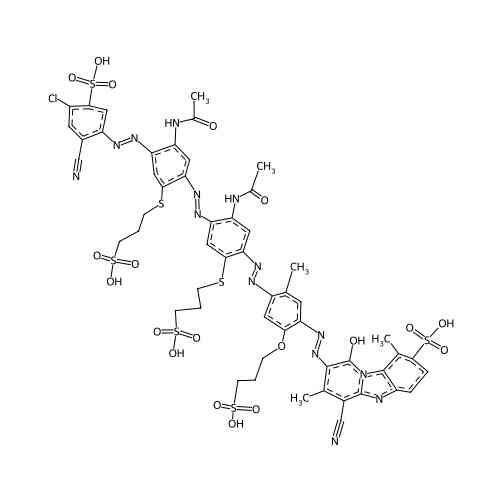 CC(=O)Nc1cc(N=Nc2cc(SCCCS(=O)(=O)O)c(N=Nc3cc(OCCCS(=O)(=O)O)c(N=Nc4c(C)c(C#N)c5nc6ccc(S(=O)(=O)O)c(C)c6n5c4O)cc3C)cc2NC(C)=O)c(SCCCS(=O)(=O)O)cc1N=Nc1cc(S(=O)(=O)O)c(Cl)cc1C#N